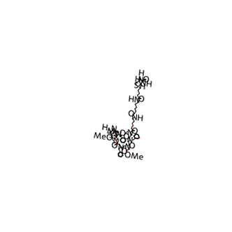 COCCN(CC(=O)N(CC(=O)N(CCOC)CC(=O)N(CC(=O)N(CCOC)CC(=O)N(CC(N)=O)Cc1ccccc1)Cc1ccccc1)Cc1ccccc1)C(=O)CCCCCNC(=O)CCCCCNC(=O)CCCCC1SC[C@@H]2NC(=O)N[C@H]12